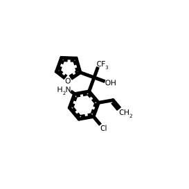 C=Cc1c(Cl)ccc(N)c1C(O)(c1ccco1)C(F)(F)F